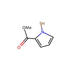 COC(=O)c1cccn1S